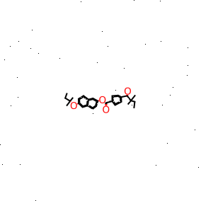 CCC(C)(C)Oc1ccc2cc(OC(=O)c3ccc(C(=O)C(C)(C)CC)cc3)ccc2c1